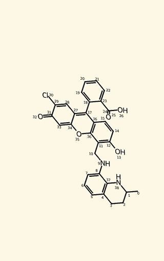 CC1CCc2cccc(NCc3c(O)ccc4c(-c5ccccc5C(=O)O)c5cc(Cl)c(=O)cc-5oc34)c2N1